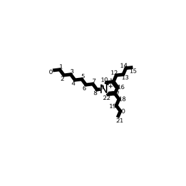 CCCCCCCCC[n+]1cc(CCCC)cc(CCCC)c1